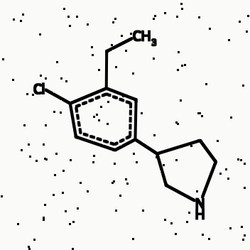 CCc1cc(C2CCNC2)ccc1Cl